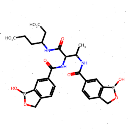 CC(NC(=O)c1ccc2c(c1)B(O)OC2)C(NC(=O)c1ccc2c(c1)B(O)OC2)C(=O)NC(CCC(=O)O)CC(=O)O